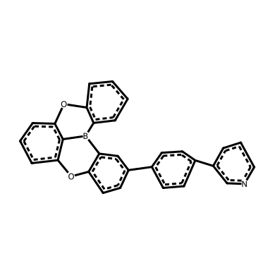 c1cncc(-c2ccc(-c3ccc4c(c3)B3c5ccccc5Oc5cccc(c53)O4)cc2)c1